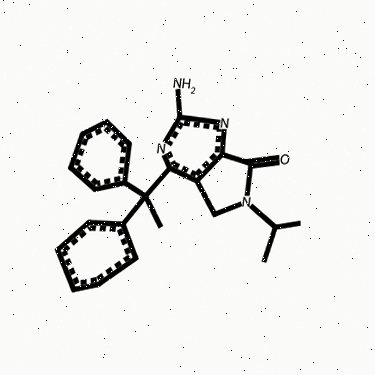 CC(C)N1Cc2c(nc(N)nc2C(C)(c2ccccc2)c2ccccc2)C1=O